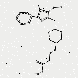 CCSc1c(I)c(-c2ccccc2)nn1C[C@H]1CC[C@H](COCC(=O)OC(C)(C)C)CC1